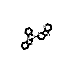 c1ccc2c(c1)nc1n(-c3ccc4oc5cccnc5c4n3)c3ccccc3n21